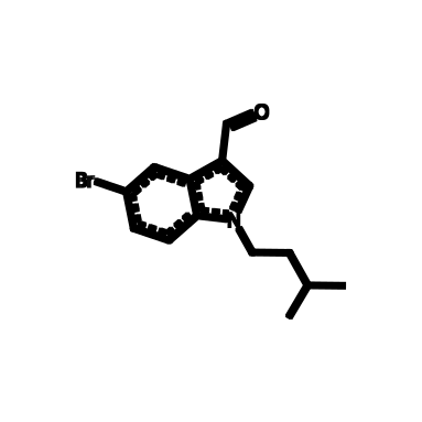 CC(C)CCn1cc(C=O)c2cc(Br)ccc21